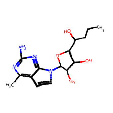 CCCC(O)C1OC(n2ccc3c(C)nc(N)nc32)C(O)C1O